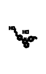 CCN1CCN(c2nc(-c3ccc(CCCCO)cc3)cc3ccccc23)CC1.Cl